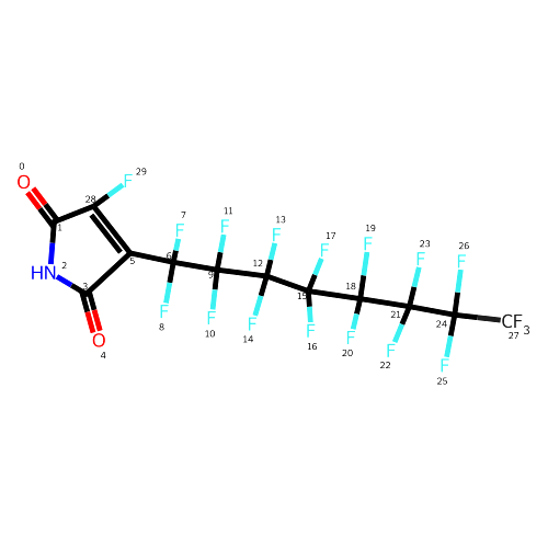 O=C1NC(=O)C(C(F)(F)C(F)(F)C(F)(F)C(F)(F)C(F)(F)C(F)(F)C(F)(F)C(F)(F)F)=C1F